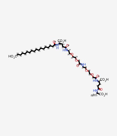 [CH2]CC[C@H](NC(=O)CC[C@H](NC(=O)COCCOCCNC(=O)COCCOCCNC(=O)CC[C@H](NC(=O)CCCCCCCCCCCCCCCCC(=O)O)C(=O)O)C(=O)O)C(=O)O